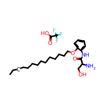 CCCCCCCCCCCCCCOc1ccccc1NC(=O)C(N)CO.O=C(O)C(F)(F)F